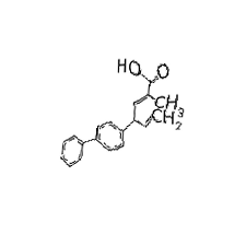 C=CC(C=C(C)C(=O)O)c1ccc(-c2ccccc2)cc1